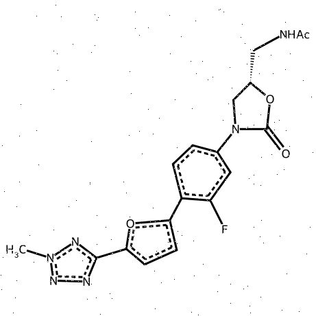 CC(=O)NC[C@H]1CN(c2ccc(-c3ccc(-c4nnn(C)n4)o3)c(F)c2)C(=O)O1